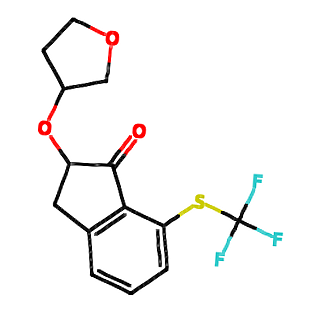 O=C1c2c(cccc2SC(F)(F)F)CC1OC1CCOC1